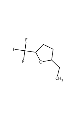 CCC1CCC(C(F)(F)F)O1